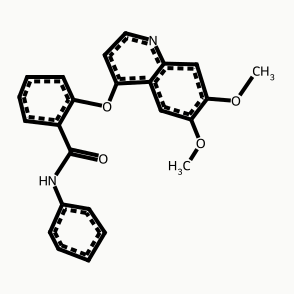 COc1cc2nccc(Oc3ccccc3C(=O)Nc3ccccc3)c2cc1OC